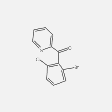 O=C(c1ccccn1)c1c(Cl)cccc1Br